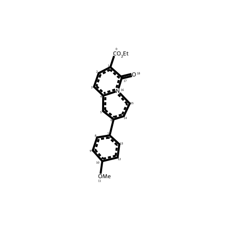 CCOC(=O)c1ccc2cc(-c3ccc(OC)cc3)ccn2c1=O